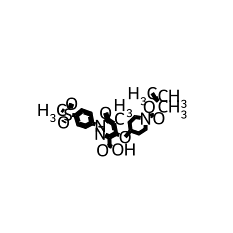 Cc1c(OC2CCN(C(=O)OC(C)(C)C)CC2)c(C(=O)O)nn(-c2ccc(S(C)(=O)=O)cc2)c1=O